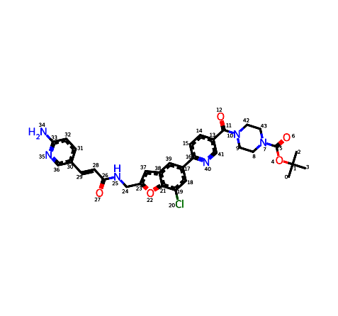 CC(C)(C)OC(=O)N1CCN(C(=O)c2ccc(-c3cc(Cl)c4oc(CNC(=O)/C=C/c5ccc(N)nc5)cc4c3)nc2)CC1